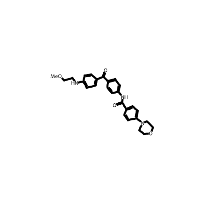 COCCNc1ccc(C(=O)c2ccc(NC(=O)c3ccc(N4CCOCC4)cc3)cc2)cc1